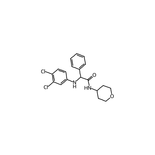 O=C(NC1CCOCC1)C(Nc1ccc(Cl)c(Cl)c1)c1ccccc1